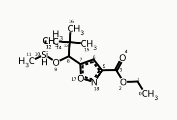 CCOC(=O)c1cc(C(O[SiH](C)C)C(C)(C)C)on1